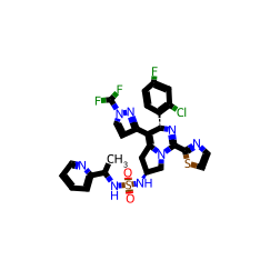 CC(NS(=O)(=O)N[C@H]1CC2=C(c3ccn(C(F)F)n3)[C@H](c3ccc(F)cc3Cl)N=C(c3nccs3)N2C1)c1ccccn1